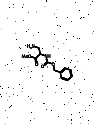 COC(=O)C(CN)NC(=O)OCc1ccccc1